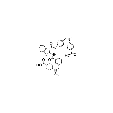 CC(C)N(Cc1cccc(C(=O)Nc2sc3c(c2C(=O)Nc2ccc(CN(C)c4ccc(C(=O)O)cc4)cc2)CCCC3)c1)[C@H]1CC[C@H](C(=O)O)CC1